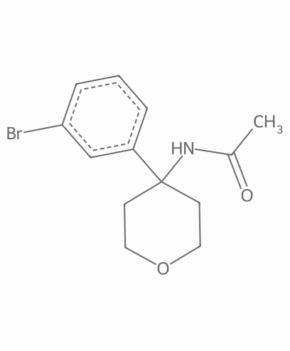 CC(=O)NC1(c2cccc(Br)c2)CCOCC1